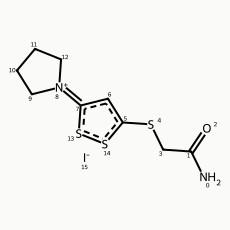 NC(=O)CSc1cc(=[N+]2CCCC2)ss1.[I-]